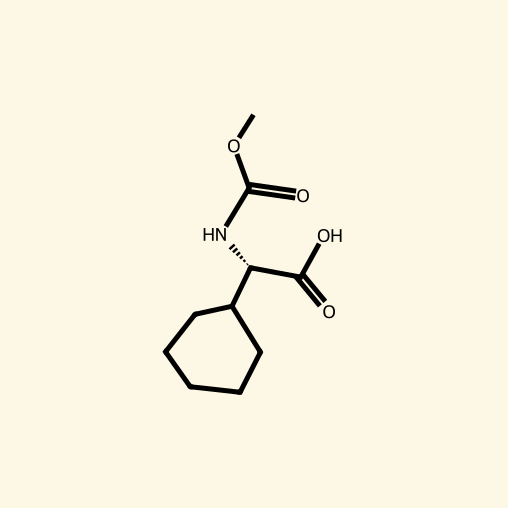 COC(=O)N[C@H](C(=O)O)C1CCCCC1